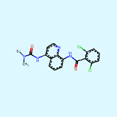 CCN(C)C(=O)Nc1ccnc2c(NC(=O)c3c(Cl)cccc3Cl)cccc12